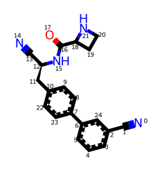 N#Cc1cccc(-c2ccc(C[C@@H](C#N)NC(=O)C3CCN3)cc2)c1